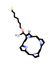 [2H]C1=C(C(C)OCCCCCCCF)C2=CC3=NC(=CC4=NC(=CC5=NC(=CC1=N2)C=C5)C=C4)C=C3